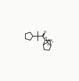 CC(C)(C(=O)N1CC2CCC1[C@@H]2N)C1CCCC1